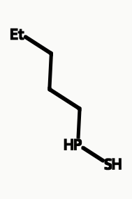 CCCCCPS